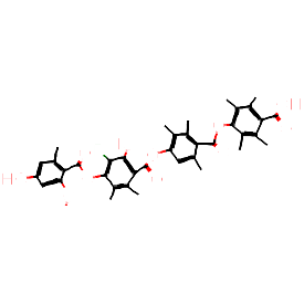 COc1cc(O)cc(C)c1C(=O)Oc1c(C)c(C)c(C(=O)Oc2cc(C)c(C(=O)Oc3c(C)c(C)c(C(=O)O)c(C)c3C)c(C)c2C)c(O)c1F